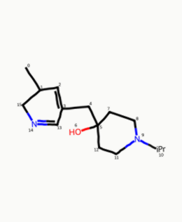 CC1C=C(CC2(O)CCN(C(C)C)CC2)C=NC1